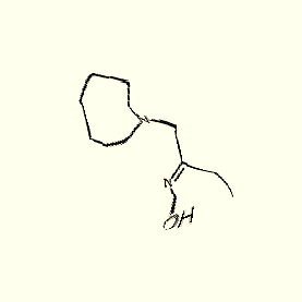 CCC(CN1CCCCC1)=NO